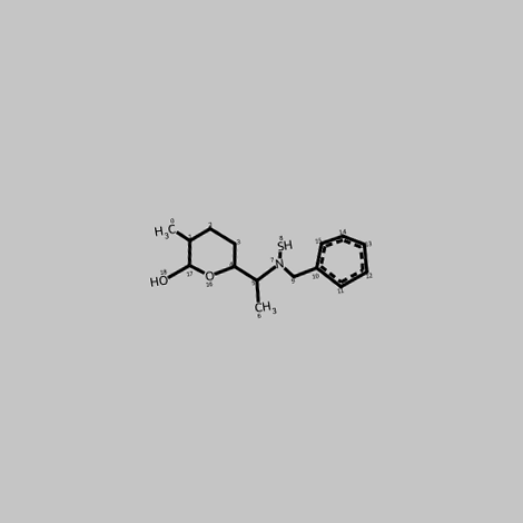 CC1CCC(C(C)N(S)Cc2ccccc2)OC1O